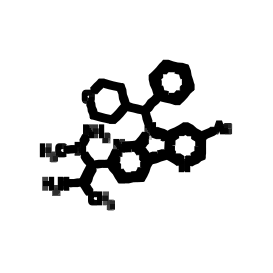 CC(=O)c1cnc2c3ccc(/C(=C(\C)N)N(C)N)nc3n(C(c3ccccc3)C3CCOCC3)c2c1